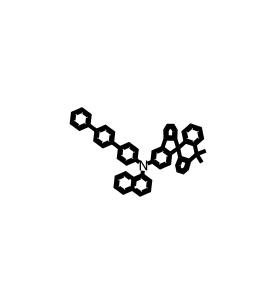 CC1(C)c2ccccc2C2(c3ccccc3-c3cc(N(c4ccc(-c5ccc(-c6ccccc6)cc5)cc4)c4cccc5ccccc45)ccc32)c2ccccc21